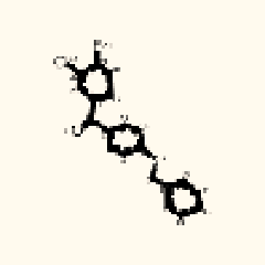 O=C(c1ccc(SCc2ccccc2)cc1)c1ccc(F)c(Cl)c1